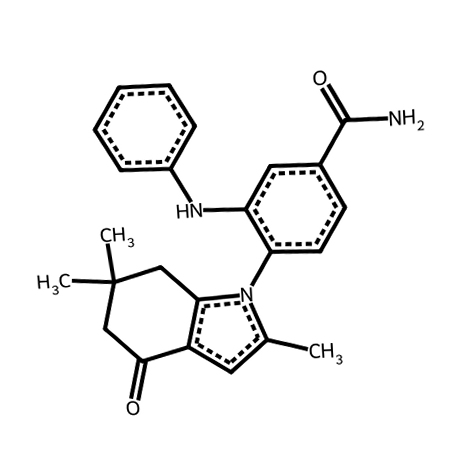 Cc1cc2c(n1-c1ccc(C(N)=O)cc1Nc1ccccc1)CC(C)(C)CC2=O